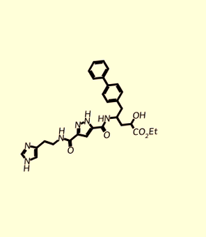 CCOC(=O)C(O)CC(Cc1ccc(-c2ccccc2)cc1)NC(=O)c1cc(C(=O)NCCc2c[nH]cn2)n[nH]1